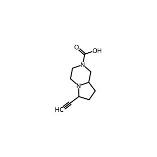 C#CC1CCC2CN(C(=O)O)CCN12